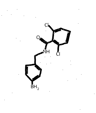 Bc1ccc(CNC(=O)c2c(Cl)cccc2Cl)cc1